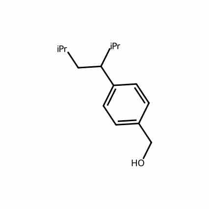 CC(C)CC(c1ccc(CO)cc1)C(C)C